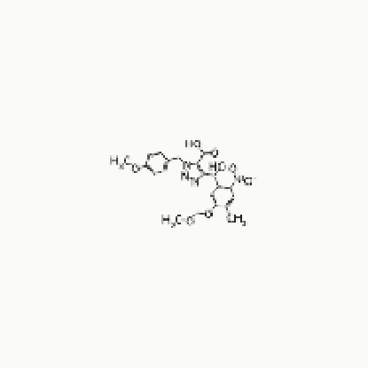 COCOc1cc(C(O)c2nnn(Cc3ccc(OC)cc3)c2C(=O)O)c([N+](=O)[O-])cc1C